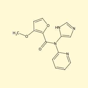 COc1ccoc1C(=O)N(c1ccccn1)c1cnc[nH]1